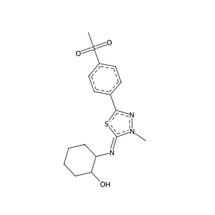 Cn1nc(-c2ccc(S(C)(=O)=O)cc2)sc1=NC1CCCCC1O